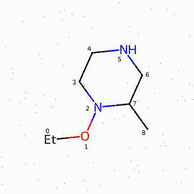 CCON1CCNCC1C